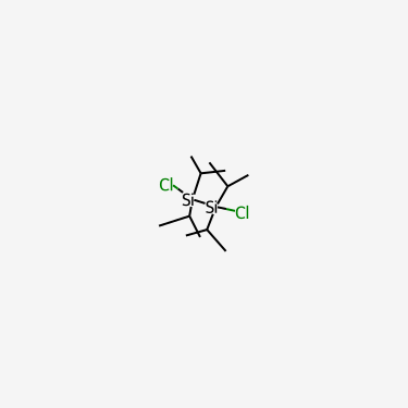 CC(C)[Si](Cl)(C(C)C)[Si](Cl)(C(C)C)C(C)C